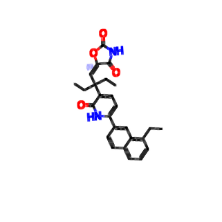 CCc1cccc2ccc(-c3ccc(C(/C=C4/OC(=O)NC4=O)(CC)CC)c(=O)[nH]3)cc12